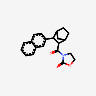 O=C1OCCN1C(=O)C1C2CCC(C2)C1c1ccc2ccccc2c1